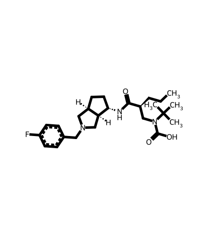 CCC[C@@H](CN(C(=O)O)C(C)(C)C)C(=O)N[C@H]1CC[C@@H]2CN(Cc3ccc(F)cc3)C[C@@H]21